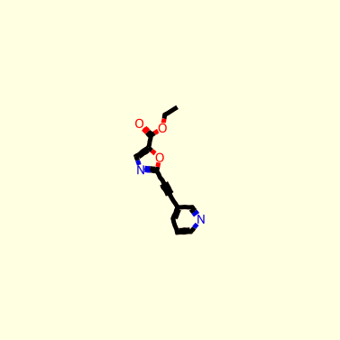 CCOC(=O)c1cnc(C#Cc2cccnc2)o1